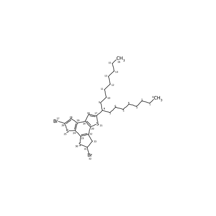 CCCCCCCCC(CCCCCCCC)c1cc2c(s1)c1c(c3sc(Br)cc32)SC(Br)C1